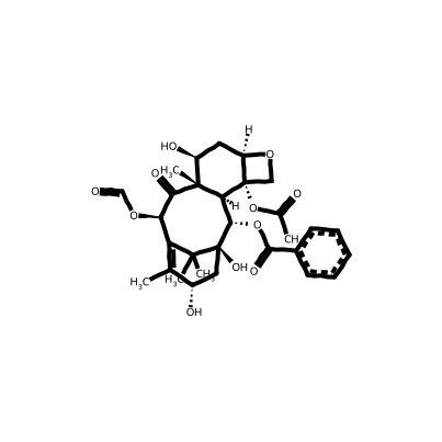 CC(=O)O[C@@]12CO[C@@H]1C[C@H](O)[C@@]1(C)C(=O)[C@H](OC=O)C3=C(C)[C@@H](O)C[C@@](O)([C@@H](OC(=O)c4ccccc4)[C@H]21)C3(C)C